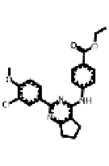 CCOC(=O)c1ccc(Nc2nc(-c3ccc(OC)c(Cl)c3)nc3c2CCC3)cc1